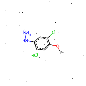 CC(C)Oc1ccc(NN)cc1Cl.Cl